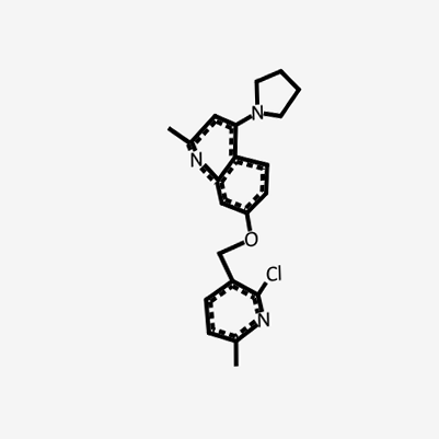 Cc1ccc(COc2ccc3c(N4CCCC4)cc(C)nc3c2)c(Cl)n1